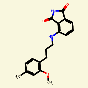 COc1cc(C)ccc1CCCNc1cccc2c1C(=O)NC2=O